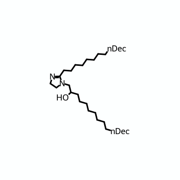 CCCCCCCCCCCCCCCCCCC1=NCCN1CC(O)CCCCCCCCCCCCCCCCCC